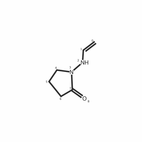 C=CNN1CCCC1=O